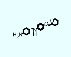 N[C@H]1CC[C@H](CNc2ccc(OCC3CCCCO3)cc2)CC1